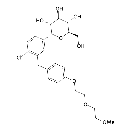 COCCOCCOc1ccc(Cc2cc([C@H]3O[C@H](CO)[C@@H](O)[C@H](O)[C@H]3O)ccc2Cl)cc1